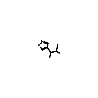 CC(C)C(C)c1cnsc1